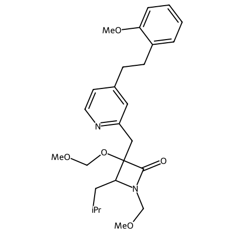 COCOC1(Cc2cc(CCc3ccccc3OC)ccn2)C(=O)N(COC)C1CC(C)C